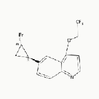 CC(C)[C@H]1C[C@@H]1c1ccc2nccc(OCC(F)(F)F)c2c1